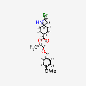 COc1ccc(COC[C@@H](OC(=O)C2CCC3(CC2)CC(Br)N3)C(F)(F)F)cc1